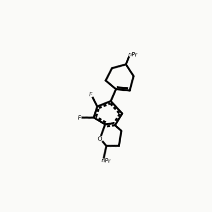 CCCC1CC=C(c2cc3c(c(F)c2F)OC(CCC)CC3)CC1